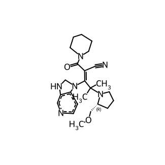 COC[C@H]1CCCN1C(C)(C)C(=C(C#N)C(=O)N1CCCCC1)N1CNc2cnccc21